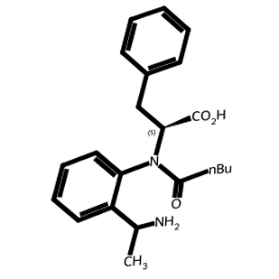 CCCCC(=O)N(c1ccccc1C(C)N)[C@@H](Cc1ccccc1)C(=O)O